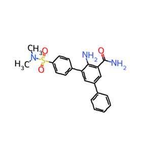 CN(C)S(=O)(=O)c1ccc(-c2cc(-c3ccccc3)cc(C(N)=O)c2N)cc1